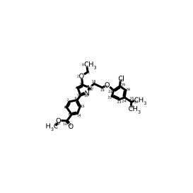 CCOc1cc(-c2ccc(C(=O)OC)cc2)nn1CCOc1ccc(C(C)C)cc1Cl